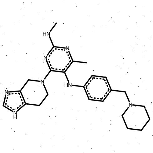 CNc1nc(C)c(Nc2ccc(CN3CCCCC3)cc2)c(N2CCc3[nH]cnc3C2)n1